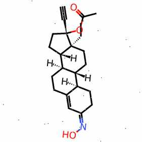 C#C[C@]1(OC(C)=O)CC[C@H]2[C@@H]3CCC4=C/C(=N\O)CC[C@@H]4[C@H]3CC[C@@]21CC